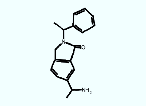 CC(N)c1ccc2c(c1)C(=O)N(C(C)c1ccccc1)C2